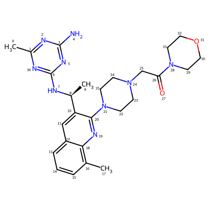 Cc1nc(N)nc(N[C@@H](C)c2cc3cccc(C)c3nc2N2CCN(CC(=O)N3CCOCC3)CC2)n1